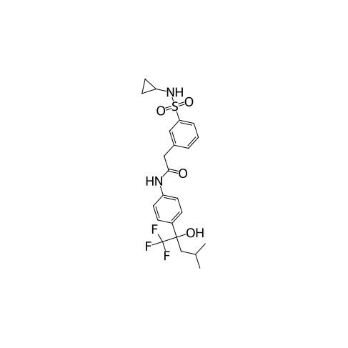 CC(C)CC(O)(c1ccc(NC(=O)Cc2cccc(S(=O)(=O)NC3CC3)c2)cc1)C(F)(F)F